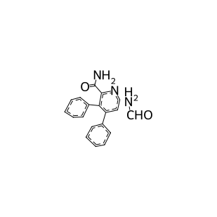 NC(=O)c1nccc(-c2ccccc2)c1-c1ccccc1.NC=O